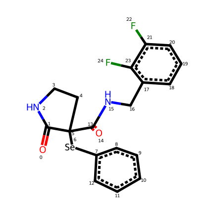 O=C1NCCC1([Se]c1ccccc1)C(=O)NCc1cccc(F)c1F